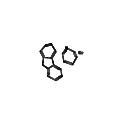 [Cu].c1ccc2c(c1)Cc1ccccc1-2.c1ccncc1